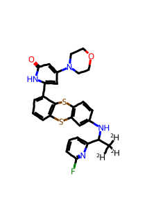 [2H]C([2H])([2H])C(Nc1ccc2c(c1)Sc1cccc(-c3cc(N4CCOCC4)cc(=O)[nH]3)c1S2)c1cccc(F)n1